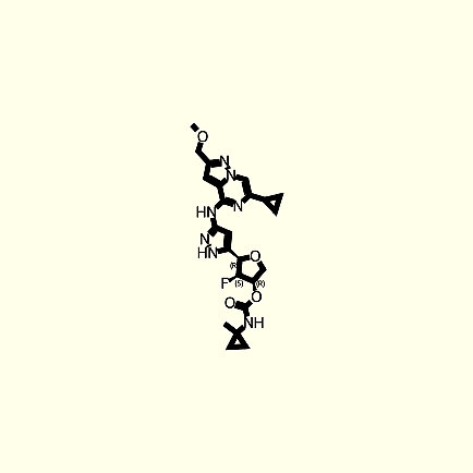 COCc1cc2c(Nc3cc([C@H]4OC[C@@H](OC(=O)NC5(C)CC5)[C@H]4F)[nH]n3)nc(C3CC3)cn2n1